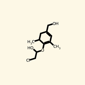 CC1=C(OC(O)CCl)C(C)CC(CO)=C1